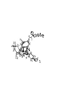 COC(=O)CCc1cc2nc(Nc3ccc(C(F)(F)F)cc3)n([C@H]3C[C@@H](C)CC(C)(C)C3)c2cc1C